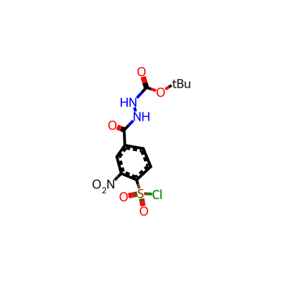 CC(C)(C)OC(=O)NNC(=O)c1ccc(S(=O)(=O)Cl)c([N+](=O)[O-])c1